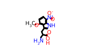 COc1ccc([N+](=O)[O-])c2[nH]cc(CC(CN)C(=O)O)c12